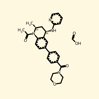 CC(=O)N1c2ccc(-c3ccc(C(=O)N4CCOCC4)cc3)cc2[C@H](Nc2ccccn2)C[C@@H]1C.O=CO